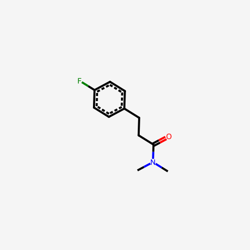 CN(C)C(=O)CCc1ccc(F)cc1